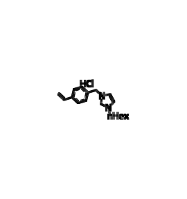 C=Cc1ccc(CN2C=CN(CCCCCC)C2)cc1.Cl